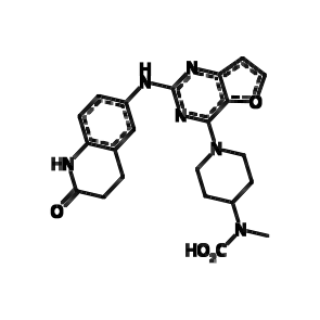 CN(C(=O)O)C1CCN(c2nc(Nc3ccc4c(c3)CCC(=O)N4)nc3ccoc23)CC1